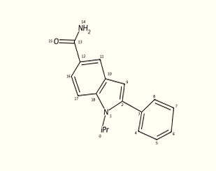 CC(C)n1c(-c2ccccc2)cc2cc(C(N)=O)ccc21